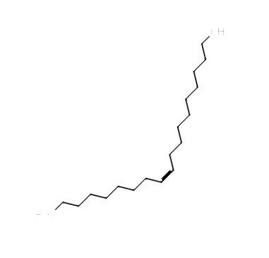 CC[CH]CCCCCCC/C=C\CCCCCCCC